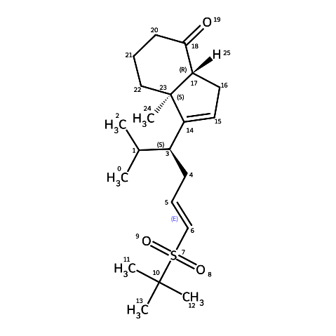 CC(C)[C@H](C/C=C/S(=O)(=O)C(C)(C)C)C1=CC[C@H]2C(=O)CCC[C@]12C